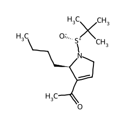 CCCC[C@@H]1C(C(C)=O)=CCN1[S@+]([O-])C(C)(C)C